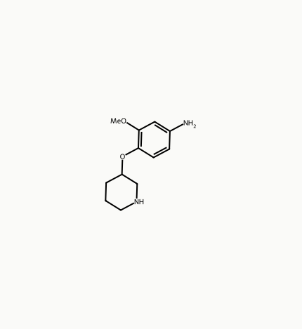 COc1cc(N)ccc1OC1CCCNC1